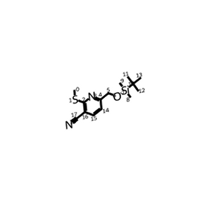 CSc1nc(CO[Si](C)(C)C(C)(C)C)ccc1C#N